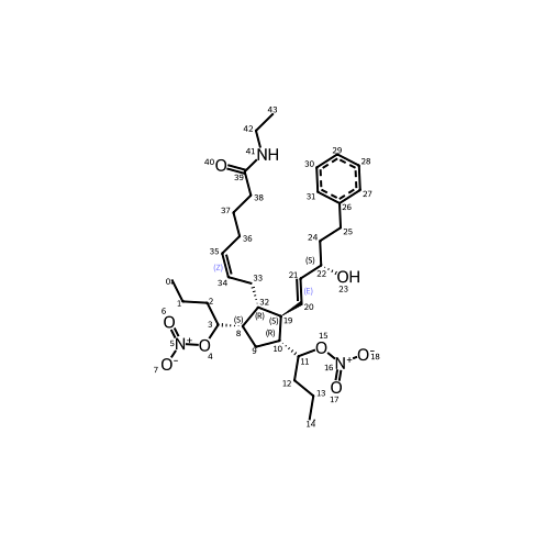 [CH2]CCC(O[N+](=O)[O-])[C@H]1C[C@@H](C(CC[CH2])O[N+](=O)[O-])[C@H](/C=C/[C@@H](O)CCc2ccccc2)[C@H]1C/C=C\CCCC(=O)NCC